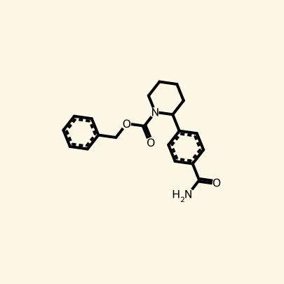 NC(=O)c1ccc(C2CCCCN2C(=O)OCc2ccccc2)cc1